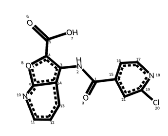 O=C(Nc1c(C(=O)O)oc2ncccc12)c1ccnc(Cl)c1